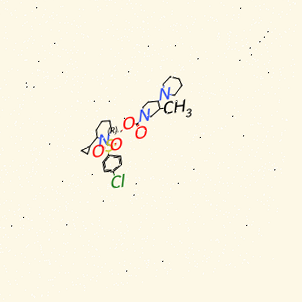 CC1CN(C(=O)OC[C@H]2CCCC(C3CC3)N2S(=O)(=O)c2ccc(Cl)cc2)CCC1N1CCCCC1